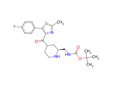 Cc1nc(C(=O)C2CCN[C@H](CNC(=O)OC(C)(C)C)C2)c(-c2ccc(F)cc2)s1